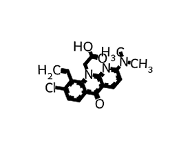 C=Cc1c(Cl)ccc2c(=O)c3ccc(N(C)C)nc3n(CC(=O)O)c12